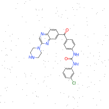 O=C(Nc1ccc(C(=O)c2ccc3ncc(N4CCNCC4)nc3c2)cc1)Nc1cccc(Cl)c1